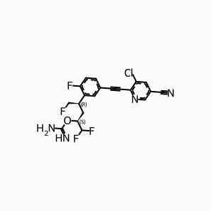 N#Cc1cnc(C#Cc2ccc(F)c([C@H](CF)C[C@H](OC(=N)N)C(F)F)c2)c(Cl)c1